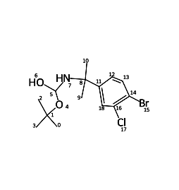 CC(C)(C)OC(O)NC(C)(C)c1ccc(Br)c(Cl)c1